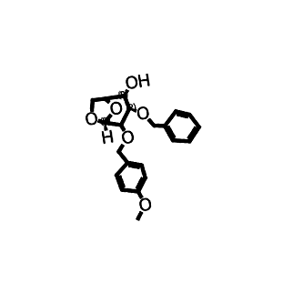 COc1ccc(COC2[C@@H]3OCC(O3)[C@@H](O)[C@H]2OCc2ccccc2)cc1